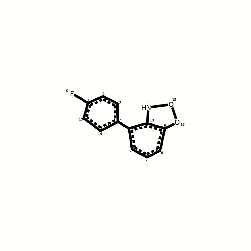 Fc1ccc(-c2cccc3c2NOO3)cc1